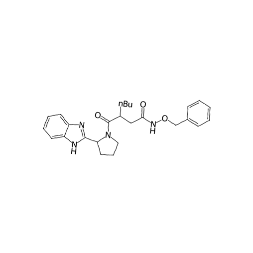 CCCCC(CC(=O)NOCc1ccccc1)C(=O)N1CCCC1c1nc2ccccc2[nH]1